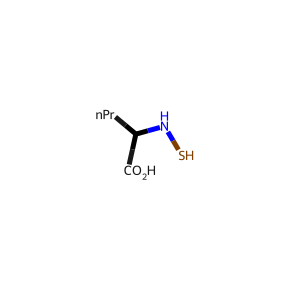 CCCC(NS)C(=O)O